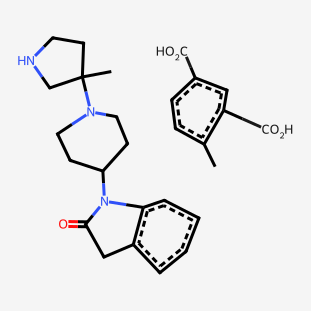 CC1(N2CCC(N3C(=O)Cc4ccccc43)CC2)CCNC1.Cc1ccc(C(=O)O)cc1C(=O)O